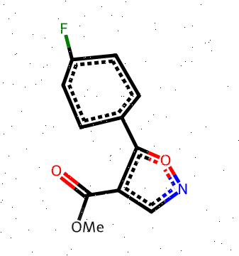 COC(=O)c1cnoc1-c1ccc(F)cc1